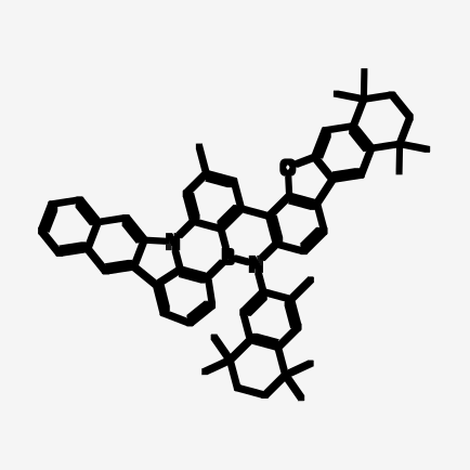 Cc1cc2c3c(c1)-n1c4cc5ccccc5cc4c4cccc(c41)B3N(c1cc3c(cc1C)C(C)(C)CCC3(C)C)c1ccc3c(oc4cc5c(cc43)C(C)(C)CCC5(C)C)c1-2